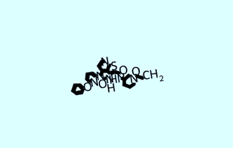 C=CC(=O)N1CCCC(NC(=O)c2sc3nccc4c3c2NC(=O)N4c2cccc(Oc3ccccc3)n2)C1